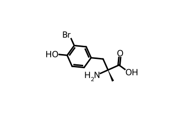 C[C@@](N)(Cc1ccc(O)c(Br)c1)C(=O)O